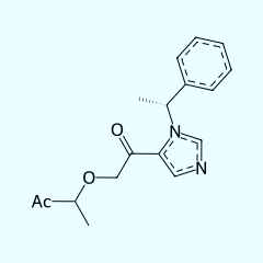 CC(=O)C(C)OCC(=O)c1cncn1[C@H](C)c1ccccc1